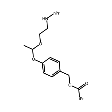 CCCNCCOC(C)Oc1ccc(COC(=O)C(C)C)cc1